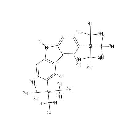 [2H]c1c([Si](C([2H])([2H])[2H])(C([2H])([2H])[2H])C([2H])([2H])[2H])ccc2c1c1c([2H])c([Si](C([2H])([2H])[2H])(C([2H])([2H])[2H])C([2H])([2H])[2H])ccc1n2C